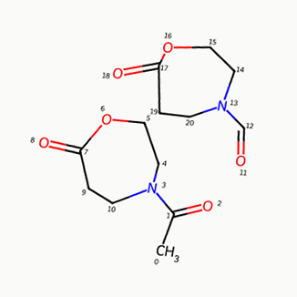 CC(=O)N1CCOC(=O)CC1.O=CN1CCOC(=O)CC1